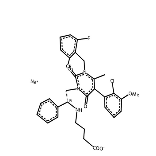 COc1cccc(-c2c(C)n(Cc3c(F)cccc3C(F)(F)F)c(=O)n(C[C@H](NCCCC(=O)[O-])c3ccccc3)c2=O)c1Cl.[Na+]